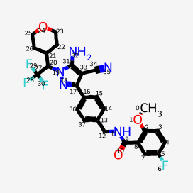 COc1ccc(F)cc1C(=O)NCc1ccc(-c2nn(C(C3CCOCC3)C(F)(F)F)c(N)c2C#N)cc1